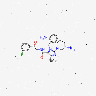 CNc1nc(N2CCCC(N)C2)n(Cc2ccccc2N)c1C(=O)NCC(=O)c1cccc(F)c1